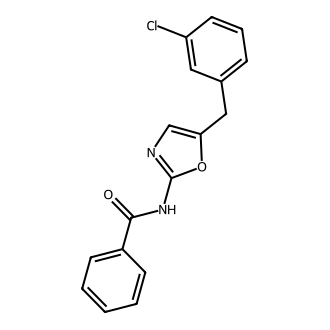 O=C(Nc1ncc(Cc2cccc(Cl)c2)o1)c1ccccc1